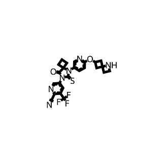 N#Cc1ncc(N2C(=O)C3(CCC3)N(c3ccc(OC4CC5(CCN5)C4)nc3)C2=S)cc1C(F)(F)F